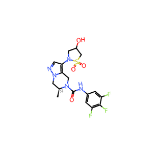 C[C@H]1Cn2ncc(N3CC(O)CS3(=O)=O)c2CN1C(=O)Nc1cc(F)c(F)c(F)c1